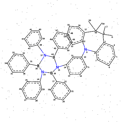 CC1(C)c2ccccc2N(c2cccc(N3B(c4ccccc4)N(c4ccccc4)B(c4ccccc4)N(c4ccccc4)B3c3ccccc3)c2)c2ccccc2C1(C)C